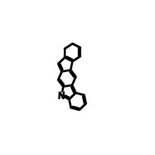 C1=CC2=C(C=c3cc4c(cc32)=c2ccccc2=N4)CC1